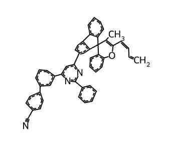 C=C/C=C\C1=C(C)C2(c3ccccc3O1)c1ccccc1-c1ccc(-c3cc(-c4cccc(-c5ccc(C#N)cc5)c4)nc(-c4ccccc4)n3)cc12